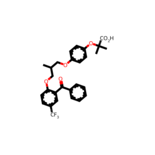 CC(COc1ccc(OC(C)(C)C(=O)O)cc1)COc1ccc(C(F)(F)F)cc1C(=O)c1ccccc1